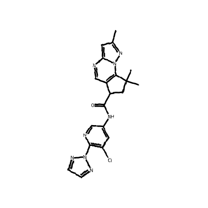 Cc1cc2ncc3c(n2n1)C(C)(C)CC3C(=O)Nc1cnc(-n2nccn2)c(Cl)c1